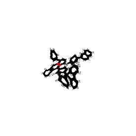 c1ccc(-c2ccc(N(c3ccc(-c4ccc5ccccc5c4)cc3)c3cc4c(cc3-c3cccc5c3CCCC5)-c3ccccc3C43c4ccccc4-c4ccccc43)cc2)cc1